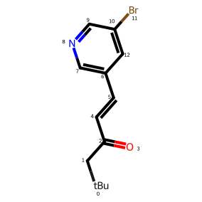 CC(C)(C)CC(=O)C=Cc1cncc(Br)c1